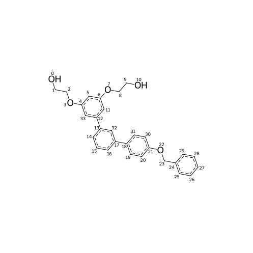 OCCOc1cc(OCCO)cc(-c2cccc(-c3ccc(OCc4ccccc4)cc3)c2)c1